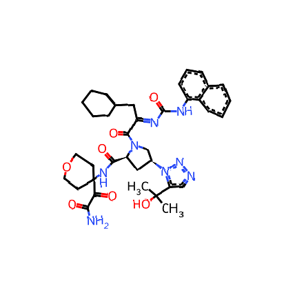 CC(C)(O)c1cnnn1[C@H]1C[C@@H](C(=O)NC2(C(=O)C(N)=O)CCOCC2)N(C(=O)/C(CC2CCCCC2)=N/C(=O)Nc2cccc3ccccc23)C1